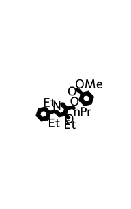 CCCC(Oc1ccccc1C(=O)OC)c1cnc(-c2c(CC)cccc2CC)cc1OCC